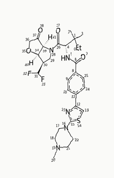 CCC(C)(C)[C@H](NC(=O)c1ccc(-c2csc(N3CCN(C)CC3)n2)cc1)C(=O)N1C[C@@H](C(F)F)[C@H]2OCC(=O)[C@H]21